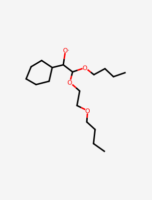 CCCCOCCOC(OCCCC)C([O])C1CCCCC1